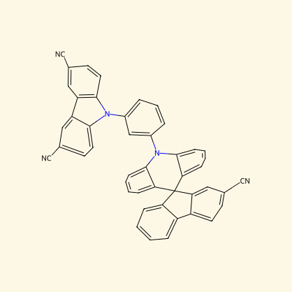 N#Cc1ccc2c(c1)C1(c3ccccc3-2)c2ccccc2N(c2cccc(-n3c4ccc(C#N)cc4c4cc(C#N)ccc43)c2)c2ccccc21